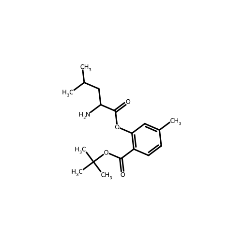 Cc1ccc(C(=O)OC(C)(C)C)c(OC(=O)C(N)CC(C)C)c1